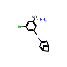 Cc1cc(Br)cc([N+](=O)[O-])c1.Ic1cc2cc(c1)C2.N